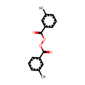 N#Cc1cccc(C(=O)OOC(=O)c2cccc(C#N)c2)c1